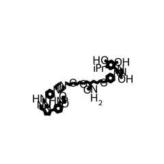 CC(C)c1cc(-c2nnc(O)n2-c2ccc(OCCCC(COCCOCCN3CCN(c4ccc(Nc5ncc6ccc(-c7cccc(NS(C)(=O)=O)c7)n6n5)cc4)CC3)C(N)=O)cc2)c(O)cc1O